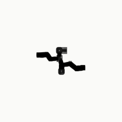 C=C[CH]C(=O)N(O)CC=C